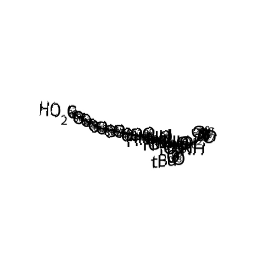 CC(C)(C)OC(=O)CC[C@H](NC(=O)CCCCCN1C(=O)C=CC1=O)C(=O)NCC(=O)NCC(=O)NCC(=O)NCC(=O)NCCOCCOCCOCCOCCOCCOCCOCCOCCC(=O)O